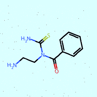 NCCN(C(=O)c1ccccc1)C(N)=S